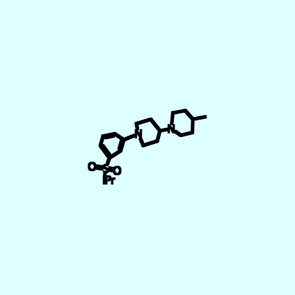 CC1CCN(C2CCN(c3cccc(S(=O)(=O)C(C)C)c3)CC2)CC1